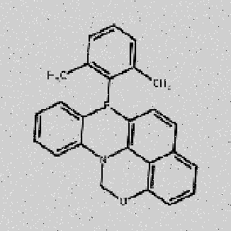 Cc1cccc(C)c1B1c2ccccc2N2COc3cccc4ccc1c2c34